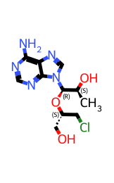 C[C@H](O)[C@@H](O[C@@H](CO)CCl)n1cnc2c(N)ncnc21